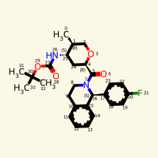 C[C@H]1CO[C@@H](C(=O)N2CCc3ccccc3[C@@H]2c2ccc(F)cc2)C[C@@H]1NC(=O)OC(C)(C)C